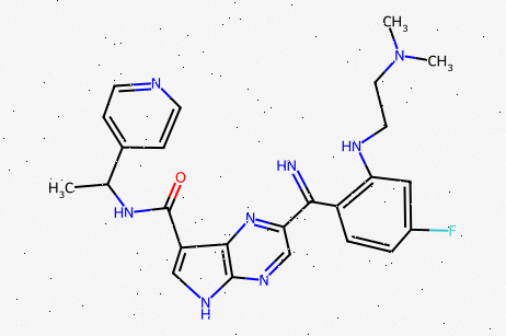 CC(NC(=O)c1c[nH]c2ncc(C(=N)c3ccc(F)cc3NCCN(C)C)nc12)c1ccncc1